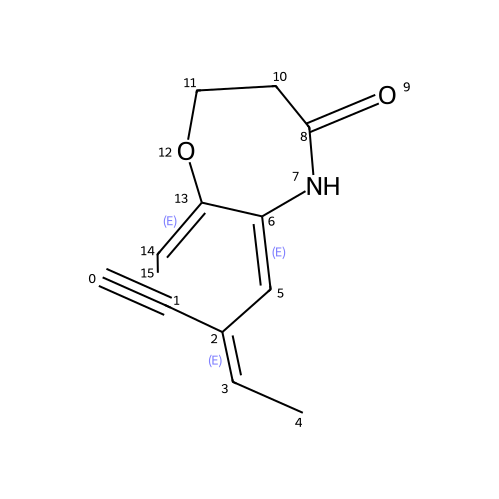 C#CC(=C/C)/C=C1/NC(=O)CCO/C1=C/C